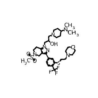 CN(C)C1CCN(CC(O)Cn2nc(-c3ccc(C(F)(F)F)c(SCCN4CCOCC4)c3)c3c2CCN(S(C)(=O)=O)C3)CC1